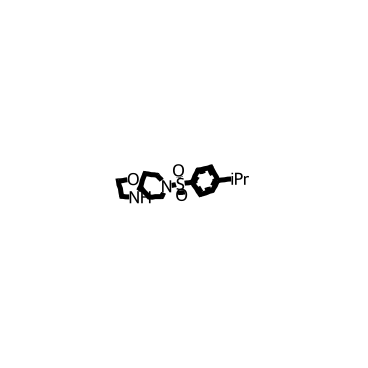 CC(C)c1ccc(S(=O)(=O)N2CCC3(CC2)NCCO3)cc1